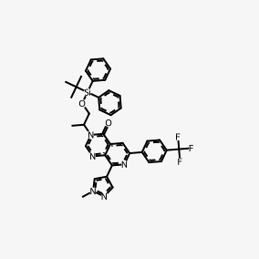 CC(CO[Si](c1ccccc1)(c1ccccc1)C(C)(C)C)n1cnc2c(-c3cnn(C)c3)nc(-c3ccc(C(F)(F)F)cc3)cc2c1=O